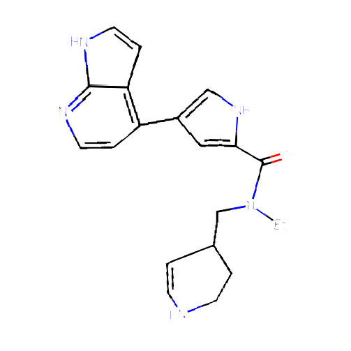 CCN(CC1C=CNCC1)C(=O)c1cc(-c2ccnc3[nH]ccc23)c[nH]1